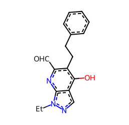 CCn1ncc2c(O)c(CCc3ccccc3)c(C=O)nc21